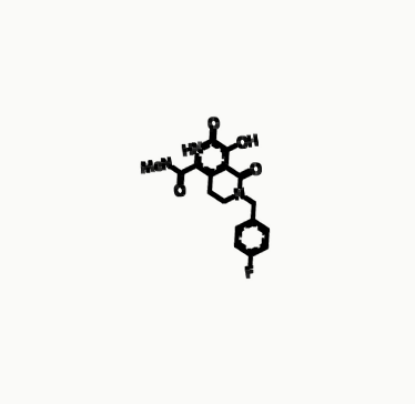 CNC(=O)c1[nH]c(=O)c(O)c2c1CCN(Cc1ccc(F)cc1)C2=O